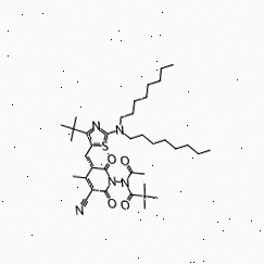 CCCCCCCCN(CCCCCCCC)c1nc(C(C)(C)C)c(/C=C2\C(=O)N(N(C(C)=O)C(=O)C(C)(C)C)C(=O)C(C#N)=C2C)s1